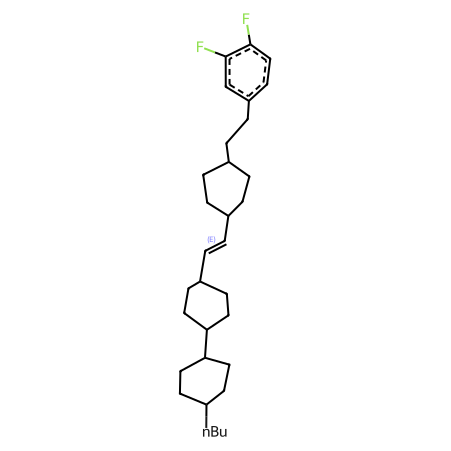 CCCCC1CCC(C2CCC(/C=C/C3CCC(CCc4ccc(F)c(F)c4)CC3)CC2)CC1